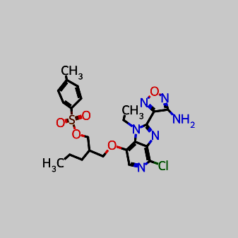 CCCC(COc1cnc(Cl)c2nc(-c3nonc3N)n(CC)c12)COS(=O)(=O)c1ccc(C)cc1